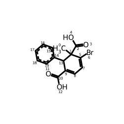 CC1(C(=O)O)C(Br)=CC=C(C(=O)O)C1c1ccccc1